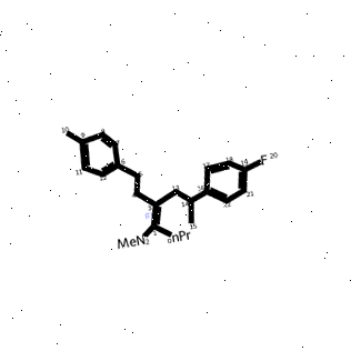 CCC/C(NC)=C(/CCc1ccc(C)cc1)CC(C)c1ccc(F)cc1